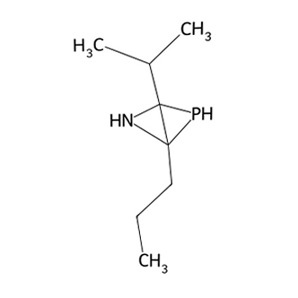 CCCC12NC1(C(C)C)P2